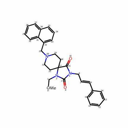 COCN1C(=O)N(C/C=C/c2ccccc2)C(=O)C12CCN(Cc1cccc3ccccc13)CC2